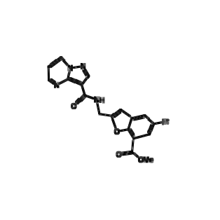 CCc1cc(C(=O)OC)c2oc(CNC(=O)c3cnn4cccnc34)cc2c1